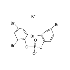 O=P([O-])(Oc1ccc(Br)cc1Br)Oc1ccc(Br)cc1Br.[K+]